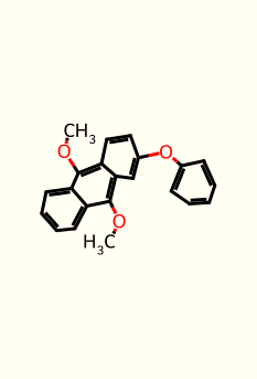 COc1c2ccccc2c(OC)c2cc(Oc3ccccc3)ccc12